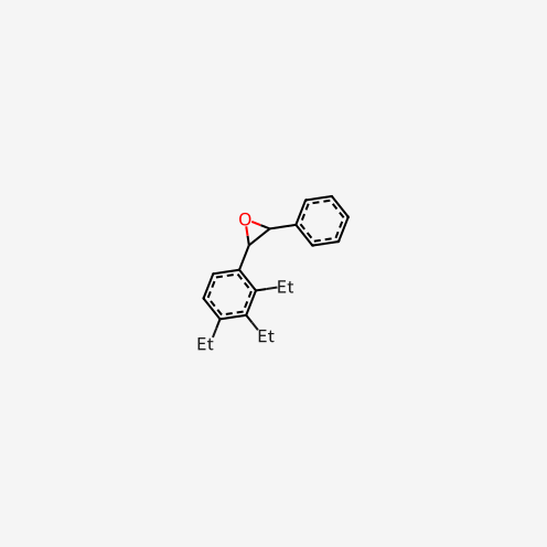 CCc1ccc(C2OC2c2ccccc2)c(CC)c1CC